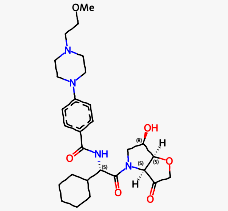 COCCN1CCN(c2ccc(C(=O)N[C@H](C(=O)N3C[C@@H](O)[C@H]4OCC(=O)[C@H]43)C3CCCCC3)cc2)CC1